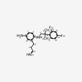 CC(C)(CNc1ccc(N)cc1CCC=N)c1ccc(F)cc1F